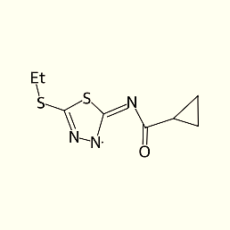 CCSC1=N[N]C(=NC(=O)C2CC2)S1